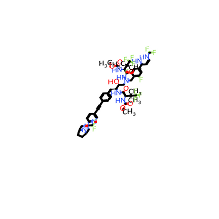 COC(=O)NC(C(=O)N[C@@H](Cc1ccc(C#Cc2ccc(N3CC4CCC(C3)N4CC(F)F)nc2)cc1)[C@@H](O)CN(Cc1c(F)cc(C(=N)/C=C\NC(F)F)cc1F)NC(=O)[C@@H](NC(=O)OC)C(C)(C)C(F)(F)F)C(C)(C)C(F)(F)F